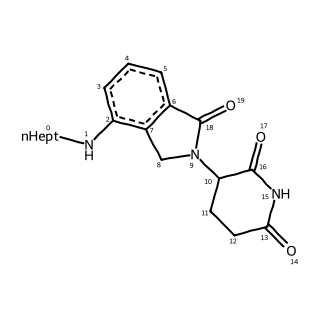 CCCCCCCNc1cccc2c1CN(C1CCC(=O)NC1=O)C2=O